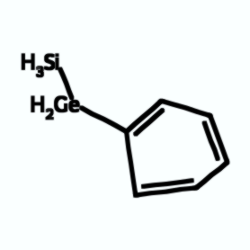 [SiH3][GeH2][c]1ccccc1